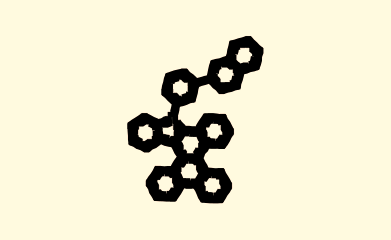 c1cc(-c2ccc3ccccc3c2)cc(-n2c3ccccc3c3c4c5ccccc5c5ccccc5c4c4ccccc4c32)c1